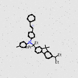 CCCC(CC)(c1ccc2c(c1)C(C)(C)c1cc(C(CC)CC)ccc1-2)N(c1ccc(C)cc1)c1ccc(/C=C/c2ccccc2)cc1